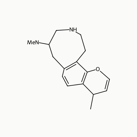 CNC1CNCCc2c(ccc3c2OC=CC3C)C1